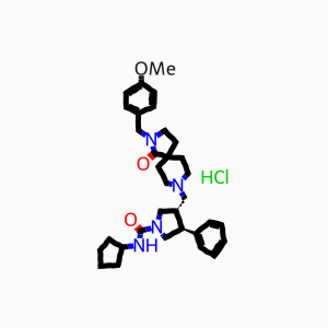 COc1ccc(CN2CCC3(CCN(C[C@H]4CN(C(=O)NC5CCCC5)C[C@@H]4c4ccccc4)CC3)C2=O)cc1.Cl